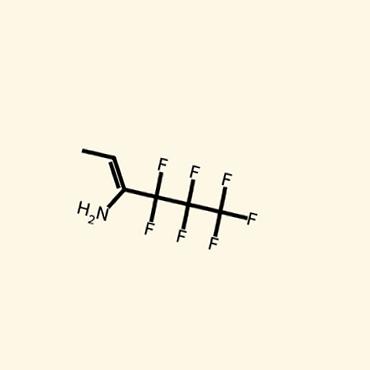 CC=C(N)C(F)(F)C(F)(F)C(F)(F)F